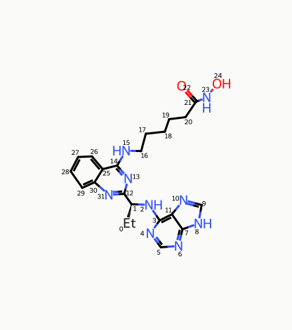 CC[C@H](Nc1ncnc2[nH]cnc12)c1nc(NCCCCCC(=O)NO)c2ccccc2n1